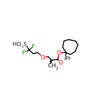 C=C(COCCC(F)(F)S(=O)(=O)O)C(=O)OC1(C(C)C)CCCCCCC1